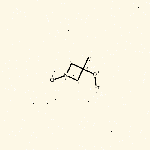 CCOC1(C)CN(Cl)C1